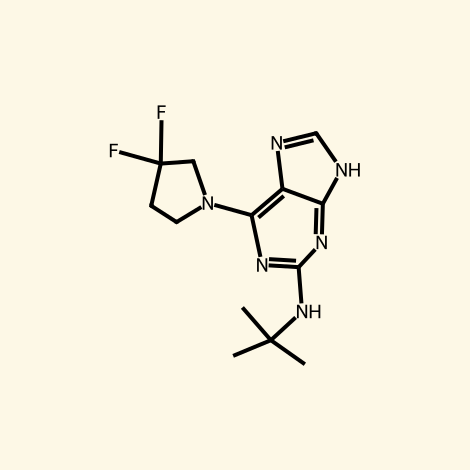 CC(C)(C)Nc1nc(N2CCC(F)(F)C2)c2nc[nH]c2n1